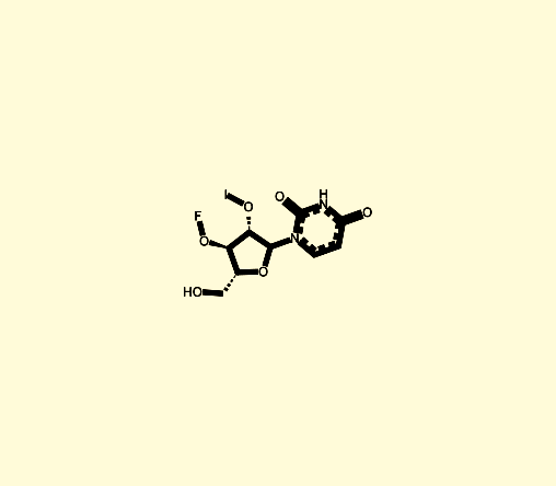 O=c1ccn(C2O[C@H](CO)[C@@H](OF)[C@@H]2OI)c(=O)[nH]1